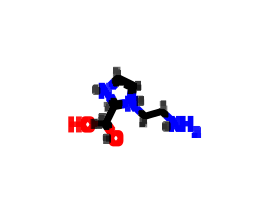 NCCn1ccnc1C(=O)O